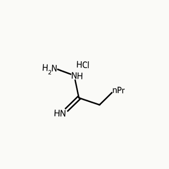 CCCCC(=N)NN.Cl